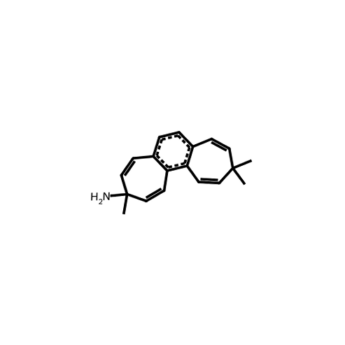 CC1(C)C=Cc2ccc3c(c2C=C1)C=CC(C)(N)C=C3